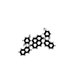 Fc1ccc(F)c(N(c2ccc3ccccc3c2)c2ccc3ccc4c(N(c5ccc6ccccc6c5)c5cc(F)ccc5F)ccc5ccc2c3c54)c1